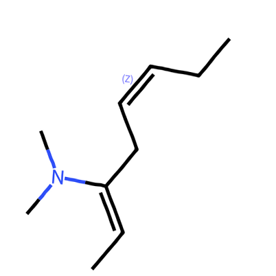 CC=C(C/C=C\CC)N(C)C